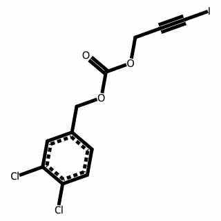 O=C(OCC#CI)OCc1ccc(Cl)c(Cl)c1